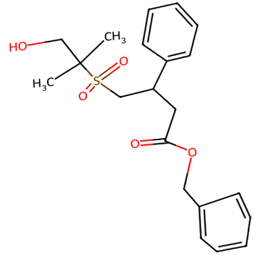 CC(C)(CO)S(=O)(=O)CC(CC(=O)OCc1ccccc1)c1ccccc1